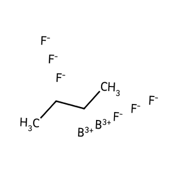 CCCC.[B+3].[B+3].[F-].[F-].[F-].[F-].[F-].[F-]